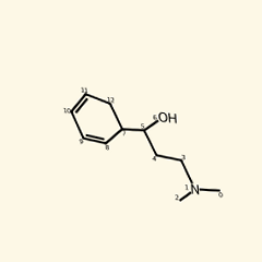 CN(C)CCC(O)C1C=CC=CC1